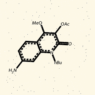 CCCCn1c(=O)c(OC(C)=O)c(OC)c2ccc(N)cc21